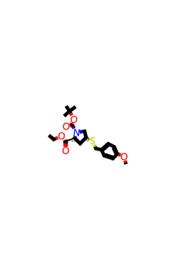 CCOC(=O)[C@@H]1C[C@H](SCc2ccc(OC)cc2)CN1C(=O)OC(C)(C)C